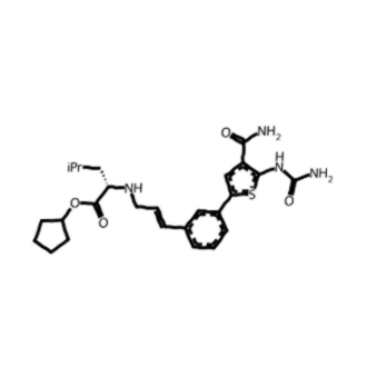 CC(C)C[C@H](NC/C=C/c1cccc(-c2cc(C(N)=O)c(NC(N)=O)s2)c1)C(=O)OC1CCCC1